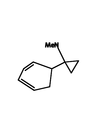 CNC1(C2C=CC=CC2)CC1